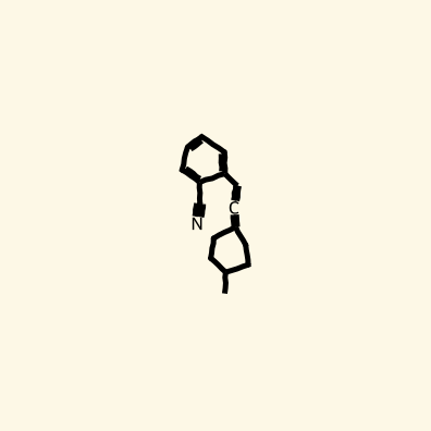 CC1CCC(=C=Cc2ccccc2C#N)CC1